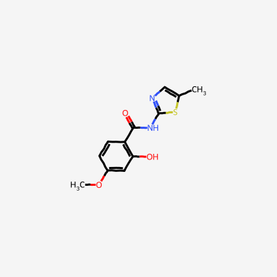 COc1ccc(C(=O)Nc2ncc(C)s2)c(O)c1